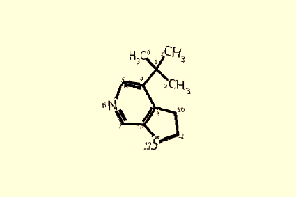 CC(C)(C)c1cncc2c1CCS2